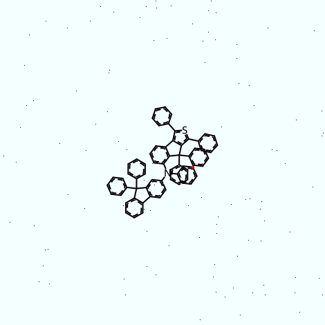 c1ccc(-c2sc(-c3ccccc3)c3c2-c2cccc(N(c4ccccc4)c4ccc5c(c4)C(c4ccccc4)(c4ccccc4)c4ccccc4-5)c2C3(c2ccccc2)c2ccccc2)cc1